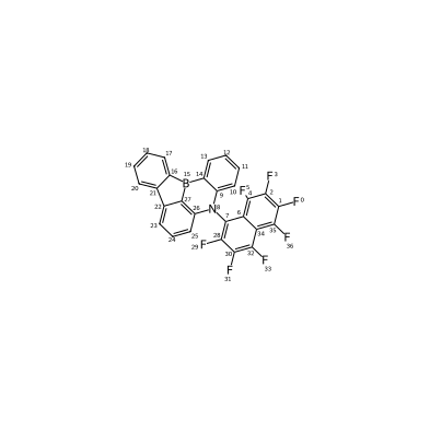 Fc1c(F)c(F)c2c(N3c4ccccc4B4c5ccccc5-c5cccc3c54)c(F)c(F)c(F)c2c1F